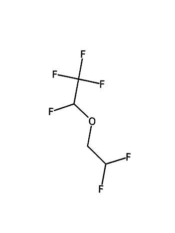 FC(F)COC(F)C(F)(F)F